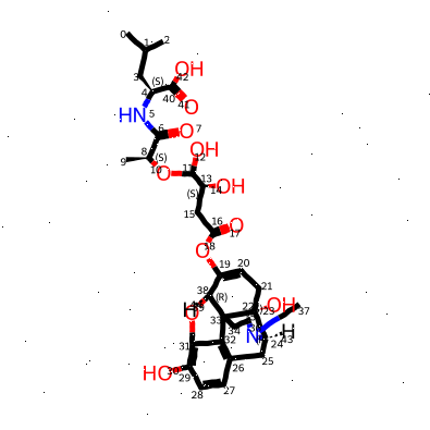 CC(C)C[C@H](NC(=O)[C@H](C)OC(O)[C@@H](O)CC(=O)OC1=CC[C@@]2(O)[C@H]3Cc4ccc(O)c5c4C2(CCN3C)[C@H]1O5)C(=O)O